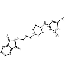 O=C1c2ccccc2C(=O)N1CCCCN1CCC(Nc2cc(C(F)(F)F)cc(C(F)(F)F)c2)CC1